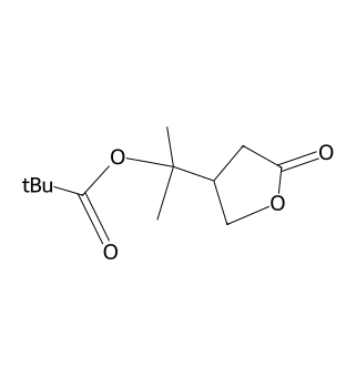 CC(C)(C)C(=O)OC(C)(C)C1COC(=O)C1